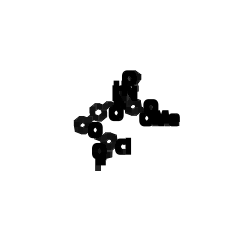 COC(=O)c1ccc(NC(=O)CC2CCC(c3ccccc3OCc3ccc(Cl)c4cc(F)oc34)CC2)c(NC[C@@H]2CCO2)c1